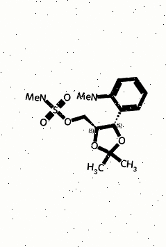 CNc1ccccc1[C@@H]1OC(C)(C)O[C@H]1COS(=O)(=O)NC